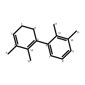 CC1=CC[C]C(c2cccc(C)c2C)=C1C